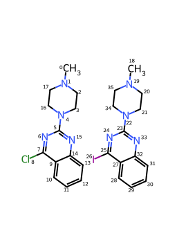 CN1CCN(c2nc(Cl)c3ccccc3n2)CC1.CN1CCN(c2nc(I)c3ccccc3n2)CC1